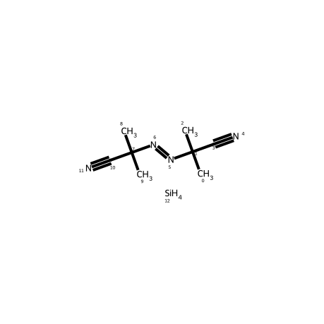 CC(C)(C#N)N=NC(C)(C)C#N.[SiH4]